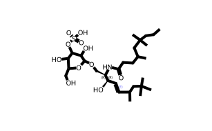 CCCC(C)(C)CC(C)CCC(=O)N[C@H](COC1OC(CO)C(O)C(OS(=O)(=O)O)C1O)[C@H](O)/C=C/C(C)CC(C)(C)C